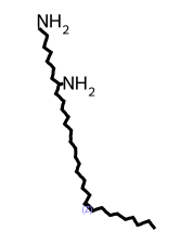 CCCCCCCC/C=C\CCCCCCCCCCCCCCC(N)CCCCCCCN